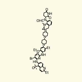 CCOc1cc(N2CCC(N3CCN(CCc4cccc(N(C=O)C5CCC(=O)NC5=O)c4N(C)C4CC4)CC3)CC2)c(CC)cc1Nc1ncc(Br)c(Nc2ccc3nc(CC)ccc3c2P(C)(C)=O)n1